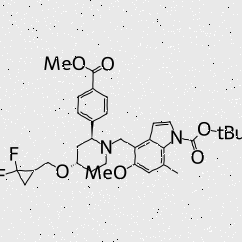 COC(=O)c1ccc([C@@H]2C[C@@H](OCC3CC3(F)F)CCN2Cc2c(OC)cc(C)c3c2ccn3C(=O)OC(C)(C)C)cc1